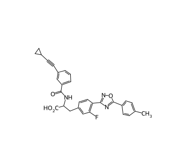 Cc1ccc(-c2nc(-c3ccc(CC(NC(=O)c4cccc(C#CC5CC5)c4)C(=O)O)cc3F)no2)cc1